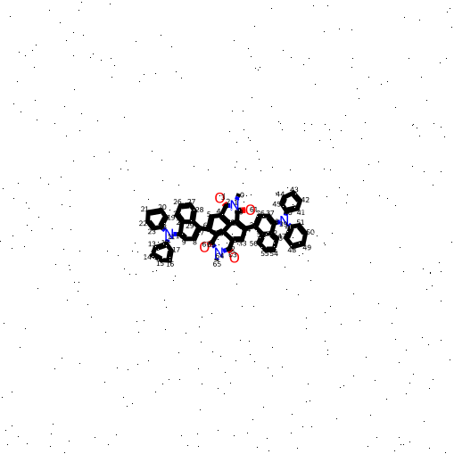 CN1C(=O)c2cc(-c3ccc(N(c4ccccc4)c4ccccc4)c4ccccc34)c3c4c(cc(-c5ccc(N(c6ccccc6)c6ccccc6)c6ccccc56)c(c24)C1=O)C(=O)N(C)C3=O